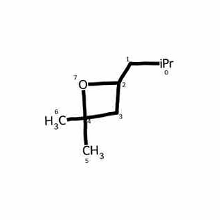 CC(C)CC1CC(C)(C)O1